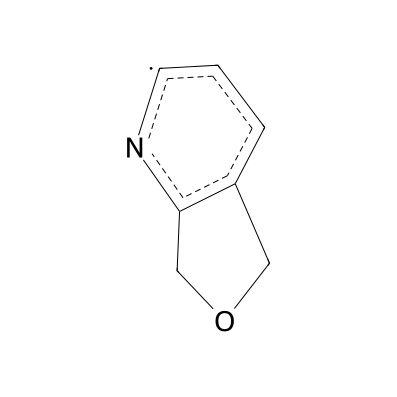 [c]1ccc2c(n1)COC2